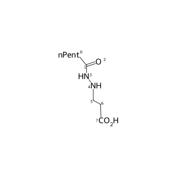 CCCCCC(=O)NNCCC(=O)O